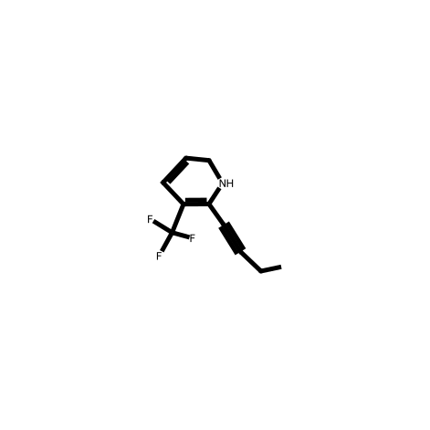 CCC#CC1=C(C(F)(F)F)C=CCN1